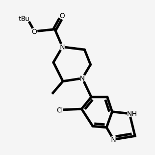 CC1CN(C(=O)OC(C)(C)C)CCN1c1cc2[nH]cnc2cc1Cl